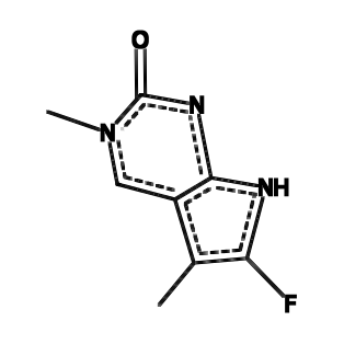 Cc1c(F)[nH]c2nc(=O)n(C)cc12